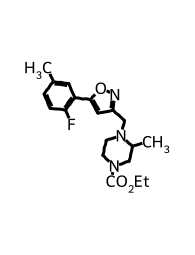 CCOC(=O)N1CCN(Cc2cc(-c3cc(C)ccc3F)on2)C(C)C1